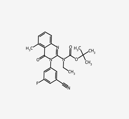 CCN(C(=O)OC(C)(C)C)c1nc2cccc(C)c2c(=O)n1-c1cc(F)cc(C#N)c1